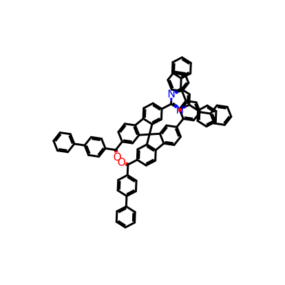 O=C(c1ccc(-c2ccccc2)cc1)c1ccc2c(c1)C1(c3cc(C(=O)c4ccc(-c5ccccc5)cc4)ccc3-c3ccc(-c4nc(-c5ccccc5)cc(-c5ccccc5)n4)cc31)c1cc(-c3cc(-c4ccccc4)cc(-c4ccccc4)c3)ccc1-2